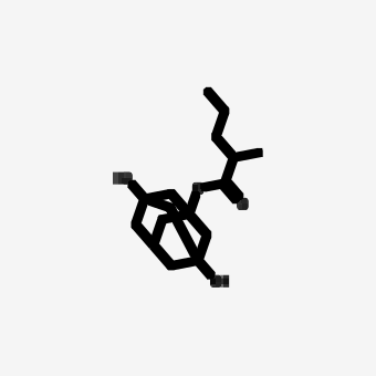 CCCC(C)C(=O)OC12CC3CC(O)(CC(O)(C3)C1)C2